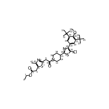 CCOC(=O)Cc1sc(CC(=O)N2CCC(c3nc(-c4cc(C(C)(C)C)c(OC)c(C(C)(C)C)c4)c(Cl)s3)CC2)nc1C